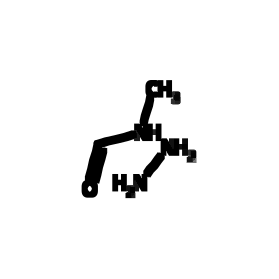 CNC=O.NN